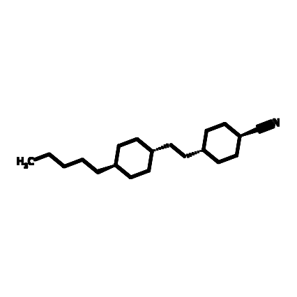 CCCCC[C@H]1CC[C@H](CC[C@H]2CC[C@H](C#N)CC2)CC1